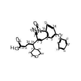 N#CC(=Cc1cc(Oc2ccccc2)ccc1N=O)C(CCC(=O)O)C1CCOCC1